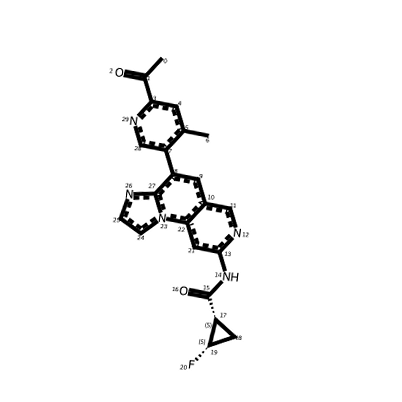 CC(=O)c1cc(C)c(-c2cc3cnc(NC(=O)[C@@H]4C[C@@H]4F)cc3n3ccnc23)cn1